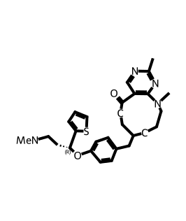 CNCC[C@@H](Oc1ccc(CC2CCCN(C)c3nc(C)ncc3C(=O)CC2)cc1)c1cccs1